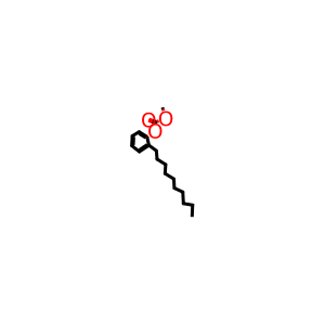 CCCCCCCCCCc1ccccc1OC(=O)OC